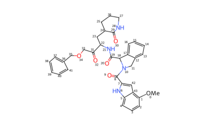 COc1cccc2[nH]c(C(=O)N3Cc4ccccc4C3C(=O)NC(CC3CCCNC3=O)C(=O)COCc3ccccc3)cc12